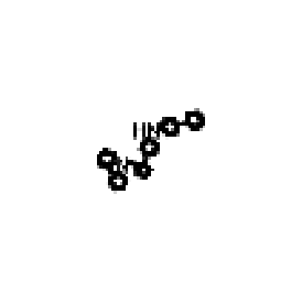 C1=CC=C(c2ccc(Nc3ccc(-c4ccccc4)cc3)cc2)C=1Cn1c2ccccc2c2ccccc21